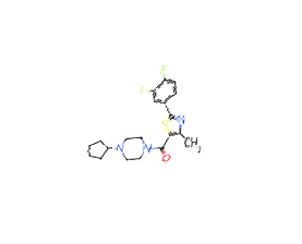 Cc1nc(-c2ccc(F)c(F)c2)sc1C(=O)N1CCN(C2CCCC2)CC1